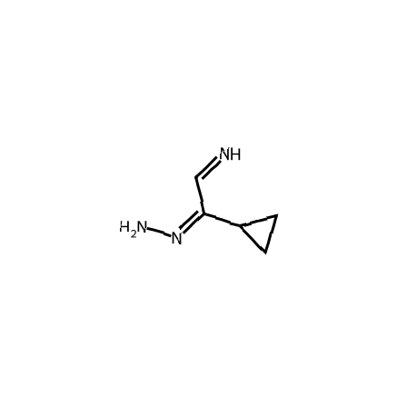 N=C/C(=N\N)C1CC1